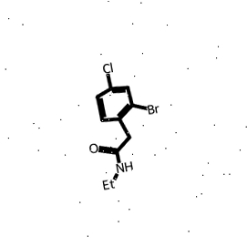 CCNC(=O)Cc1ccc(Cl)cc1Br